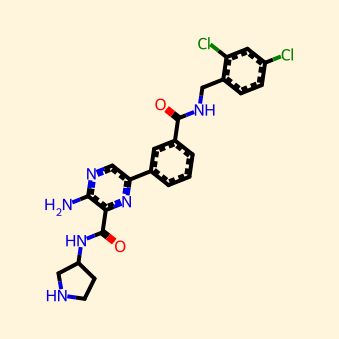 Nc1ncc(-c2cccc(C(=O)NCc3ccc(Cl)cc3Cl)c2)nc1C(=O)NC1CCNC1